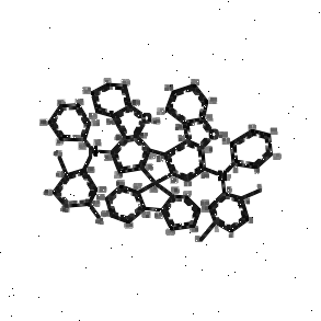 Cc1ccc(C)c(N(c2ccccc2)c2cc3c(c4c2oc2ccccc24)-c2c(cc(N(c4ccccc4)c4cc(C)ccc4C)c4c2oc2ccccc24)C32c3ccccc3-c3ccccc32)c1